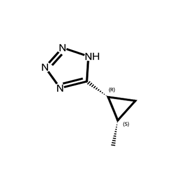 C[C@H]1C[C@H]1c1nnn[nH]1